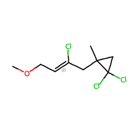 COC/C=C(\Cl)CC1(C)CC1(Cl)Cl